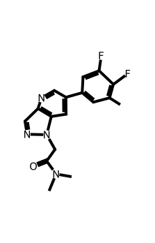 Cc1cc(-c2cnc3cnn(CC(=O)N(C)C)c3c2)cc(F)c1F